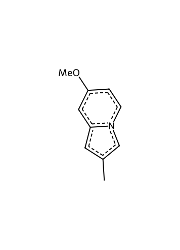 COc1ccn2cc(C)cc2c1